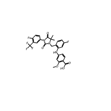 COc1cc(Nc2cc(F)ccc2CN2C(=O)N(c3ccc(F)c(C(F)(F)F)c3)C(=O)C2(C)C)ccc1C(=O)O